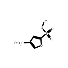 CCOC(=O)c1coc(S(=O)(=O)OCC)c1